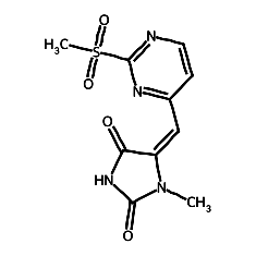 CN1C(=O)NC(=O)/C1=C\c1ccnc(S(C)(=O)=O)n1